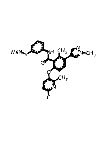 CNSc1cccc(NC(=O)c2c(Oc3ccc(F)nc3C)ccc(-c3cnn(C)c3)c2C)c1